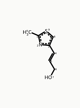 Cc1nc(C=CCO)cs1